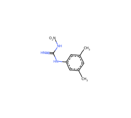 Cc1cc(C)cc(NC(=N)N[N+](=O)[O-])c1